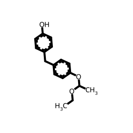 CCOC(C)Oc1ccc(Cc2ccc(O)cc2)cc1